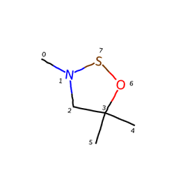 CN1CC(C)(C)OS1